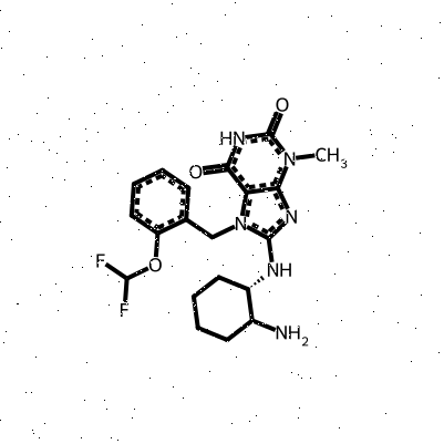 Cn1c(=O)[nH]c(=O)c2c1nc(N[C@H]1CCCCC1N)n2Cc1ccccc1OC(F)F